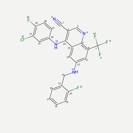 N#Cc1cnc2c(C(F)(F)F)cc(NCc3ccccc3F)cc2c1Nc1ccc(F)c(Cl)c1